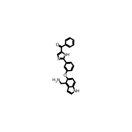 NCc1c(Oc2cccc(-c3ncc(C(=O)c4ccccc4)[nH]3)c2)ccc2[nH]ccc12